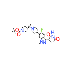 C[C@H](C1CCN(C(=O)OC(C)(C)C)CC1)N1CCC(c2cc3c(cc2F)c(C2CCC(=O)NC2=O)nn3C)CC1